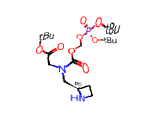 CC(C)(C)OC(=O)CN(C[C@H]1CCN1)C(=O)OCOP(=O)(OC(C)(C)C)OC(C)(C)C